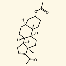 CC(=O)O[C@@H]1CC[C@@]2(C)[C@@H](CC[C@@H]3[C@@H]2CC[C@]2(C)C(C(C)=O)=CC[C@@H]32)C1